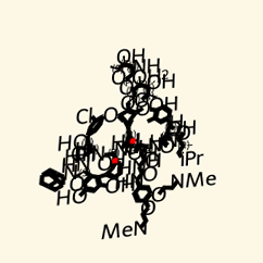 CNCCOc1ccc(NC(=O)NC(=O)C[C@@H]2NC(=O)[C@H](NC(=O)[C@H](C)CC(C)C)[C@H](O)c3ccc(c(C)c3)Oc3cc4cc(c3O[C@@H]3O[C@H](CO)[C@@H](O)[C@H](O)[C@H]3O[C@H]3C[C@](C)(N)[C@H](O)[C@H](C)O3)Oc3ccc(cc3Cl)[C@@H](O)[C@@H]3NC(=O)[C@H](NC(=O)[C@@H]4NC2=O)c2ccc(O)c(c2)-c2c(C)cc(O)cc2[C@@H](C(=O)NC2C4CC5CC(C4)CC2C5)NC3=O)cc1OCCNC